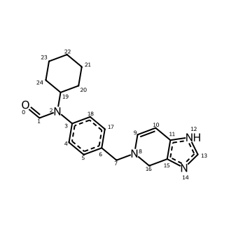 O=CN(c1ccc(CN2C=Cc3[nH]cnc3C2)cc1)C1CCCCC1